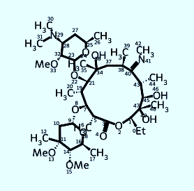 CC[C@H]1OC(=O)[C@H](C)[C@@H](O[C@H]2C[C@@](C)(OC)[C@@H](OC)[C@H](C)O2)[C@H](C)[C@@H](O[C@@H]2O[C@H](C)C[C@H](N(C)C)[C@H]2OC)[C@](C)(O)C[C@@H](C)/C(=N\C)[C@H](C)[C@@H](O)[C@]1(C)O